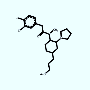 CC(=O)OCCCC1CCC(N(C)C(=O)Cc2ccc(Cl)c(Cl)c2)C(N2CCCC2)C1